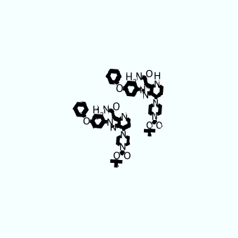 CC(C)(C)OC(=O)N1CCN(C2CCNc3c2nn(-c2ccc(Oc4ccccc4)cc2)c3C(N)=O)CC1.CC(C)(C)OC(=O)N1CCN(c2ccnc3c(C(N)=O)n(-c4ccc(Oc5ccccc5)cc4)nc23)CC1